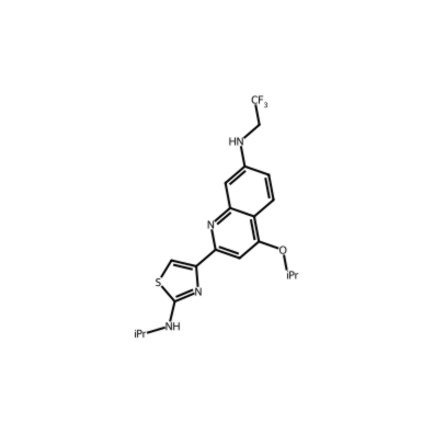 CC(C)Nc1nc(-c2cc(OC(C)C)c3ccc(NCC(F)(F)F)cc3n2)cs1